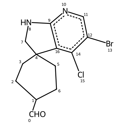 O=CC1CCC2(CC1)CNc1ncc(Br)c(Cl)c12